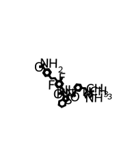 CC1(C)CNCCN1Cc1cccc(C(=O)Nc2sc3c(c2C(=O)Nc2cc(F)c(CCc4ccc(C(N)=O)cc4)c(F)c2)CCCC3)c1